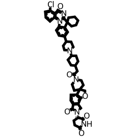 O=C1CC[C@H](N2Cc3c(ccc4c3OCC43CCN(C(=O)CC4CCC(N5CCC(c6ccc7c(c6)C6(CCCCC6)c6nc(=O)c8c(Cl)cccc8n6-7)CC5)CC4)CC3)C2=O)C(=O)N1